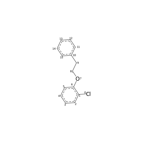 Clc1ccccc1O[CH]Cc1ccccc1